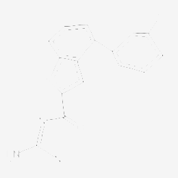 Cc1cccc(-c2cccc3sc(C(=O)N=C(N)N)cc23)c1